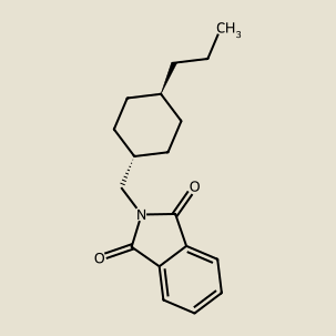 CCC[C@H]1CC[C@H](CN2C(=O)c3ccccc3C2=O)CC1